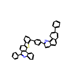 C1=Cc2ccc3ccc(-c4ccc(-c5cccc6c5sc5c6ccc6c(-c7ccccc7)nc7ccccc7c65)cc4)nc3c2CC=C1c1ccccc1